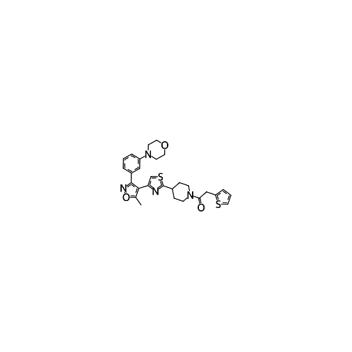 Cc1onc(-c2cccc(N3CCOCC3)c2)c1-c1csc(C2CCN(C(=O)Cc3cccs3)CC2)n1